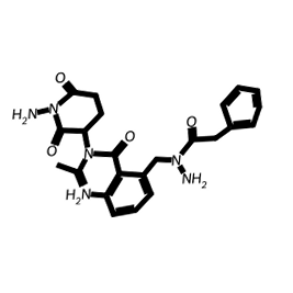 C=C(C)N(C(=O)c1c(N)cccc1CN(N)C(=O)Cc1ccccc1)C1CCC(=O)N(N)C1=O